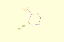 Cl.Cl.O=C(O)N1CCNCC1